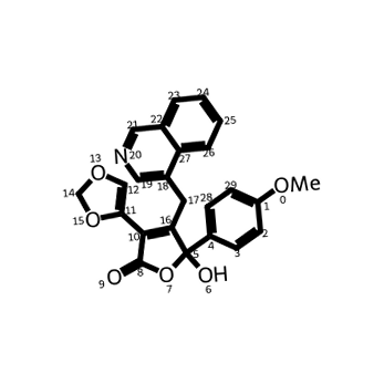 COc1ccc(C2(O)OC(=O)C(C3=COCO3)=C2Cc2cncc3ccccc23)cc1